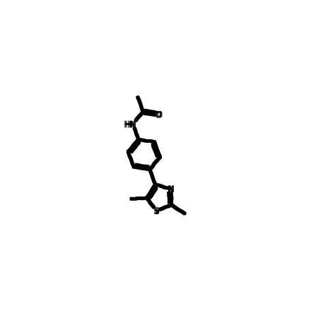 CC(=O)Nc1ccc(-c2nc(C)sc2C)cc1